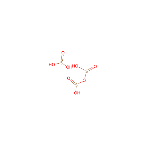 O=S(O)O.O=S(O)OS(=O)O